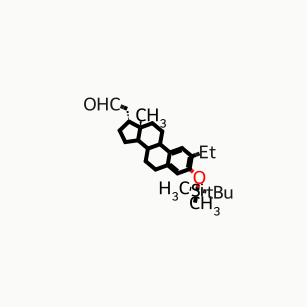 CCc1cc2c(cc1O[Si](C)(C)C(C)(C)C)CCC1C2CC[C@@]2(C)C1CC[C@@H]2CC=O